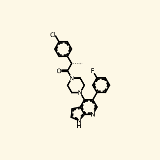 [CH2][C@H](C(=O)N1CCN(c2c(-c3cccc(F)c3)cnc3[nH]ccc23)CC1)c1ccc(Cl)cc1